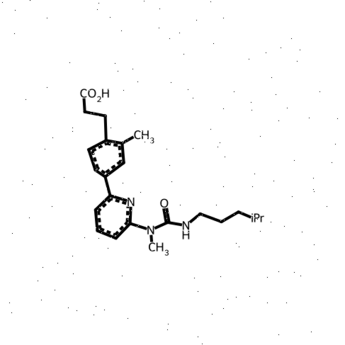 Cc1cc(-c2cccc(N(C)C(=O)NCCCC(C)C)n2)ccc1CCC(=O)O